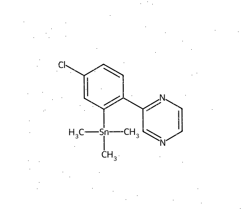 [CH3][Sn]([CH3])([CH3])[c]1cc(Cl)ccc1-c1cnccn1